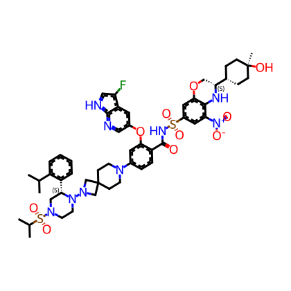 CC(C)c1ccccc1[C@H]1CN(S(=O)(=O)C(C)C)CCN1N1CC2(CCN(c3ccc(C(=O)NS(=O)(=O)c4cc5c(c([N+](=O)[O-])c4)N[C@@H]([C@H]4CC[C@](C)(O)CC4)CO5)c(Oc4cnc5[nH]cc(F)c5c4)c3)CC2)C1